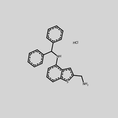 Cl.NCc1cc2c(NC(c3ccccc3)c3ccccc3)cccc2s1